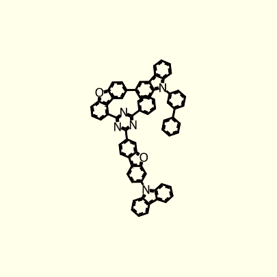 c1ccc(-c2cccc(-n3c4ccccc4c4cc(-c5ccc6oc7cccc(-c8nc(-c9ccccc9)nc(-c9ccc%10c(c9)oc9cc(-n%11c%12ccccc%12c%12ccccc%12%11)ccc9%10)n8)c7c6c5)ccc43)c2)cc1